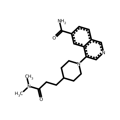 CN(C)C(=O)CCC1CCN(c2cncc3ccc(C(N)=O)cc23)CC1